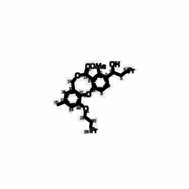 COc1c(C(O)CC(C)C)ccc2c1C(=O)OCc1cc(C)cc(OCCC(C)C)c1O2